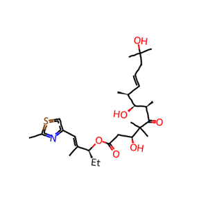 CC[C@H](OC(=O)C[C@H](O)C(C)(C)C(=O)[C@H](C)[C@@H](O)[C@@H](C)/C=C/CC(C)(C)O)/C(C)=C/c1csc(C)n1